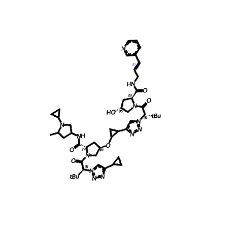 CC1CC(NC(=O)[C@@H]2C[C@@H](OC3CC3c3cn([C@H](C(=O)N4C[C@H](O)C[C@H]4C(=O)NC/C=C/c4cccnc4)C(C)(C)C)nn3)CN2C(=O)[C@@H](n2cc(C3CC3)nn2)C(C)(C)C)CN1C1CC1